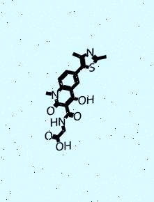 Cc1nc(C)c(-c2ccc3c(c2)c(O)c(C(=O)NCC(=O)O)c(=O)n3C)s1